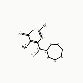 N=C(Cl)/C(N)=C(\N=C\C(F)(F)F)N(N)C1CCCCCC1